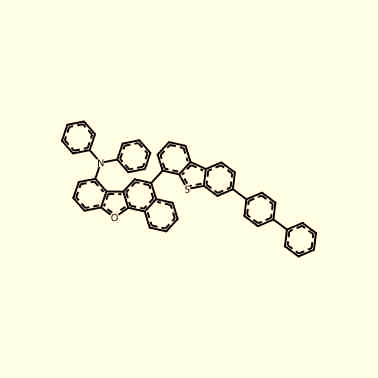 c1ccc(-c2ccc(-c3ccc4c(c3)sc3c(-c5cc6c(oc7cccc(N(c8ccccc8)c8ccccc8)c76)c6ccccc56)cccc34)cc2)cc1